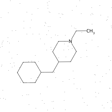 CCN1CCC([CH]C2CCCCC2)CC1